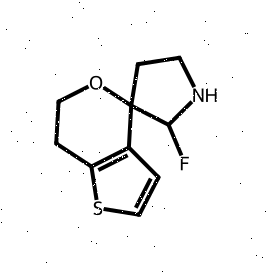 FC1NCCC12OCCc1sccc12